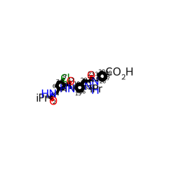 CC(C)C(=O)NCc1ccc(Cl)c(C(=O)Nc2ccc3c(c2)cc(C(=O)Nc2ccc(C(=O)O)cc2)n3C(C)C)c1